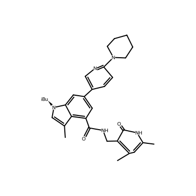 CC[C@H](C)n1cc(C)c2c(C(=O)NCc3c(C)cc(C)[nH]c3=O)cc(-c3ccc(N4CCCCC4)nc3)cc21